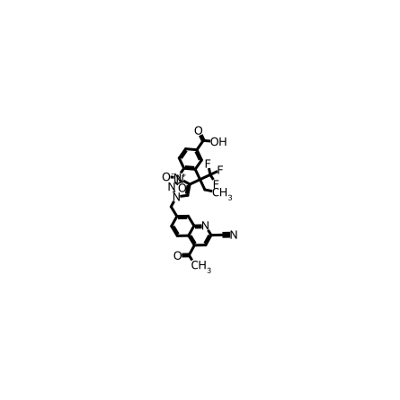 CCC(c1cn(Cc2ccc3c(C(C)=O)cc(C#N)nc3c2)nn1)(c1cc(C(=O)O)ccc1[N+](=O)[O-])C(F)(F)F